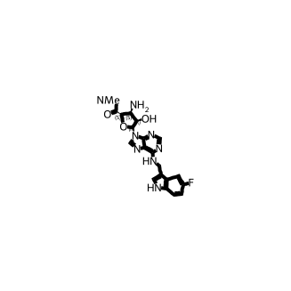 CNC(=O)[C@H]1O[C@@H](n2cnc3c(NCc4c[nH]c5ccc(F)cc45)ncnc32)[C@H](O)[C@@H]1N